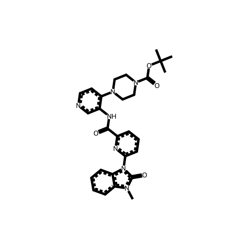 Cn1c(=O)n(-c2cccc(C(=O)Nc3cnccc3N3CCN(C(=O)OC(C)(C)C)CC3)n2)c2ccccc21